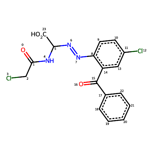 O=C(CCl)NC(N=Nc1ccc(Cl)cc1C(=O)c1ccccc1)C(=O)O